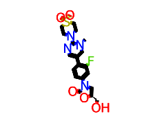 CN1CC(c2ccc(N3C[C@H](CO)OC3=O)cc2F)=CN=C1N1CCS(=O)(=O)CC1